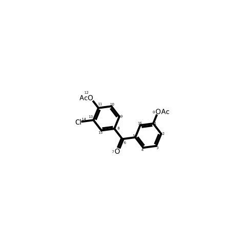 CC(=O)Oc1cccc(C(=O)c2ccc(OC(C)=O)c(Cl)c2)c1